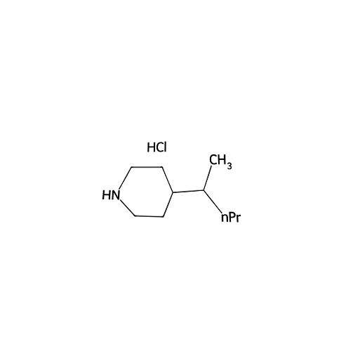 CCCC(C)C1CCNCC1.Cl